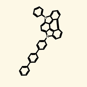 c1ccc(-c2ccc(-c3ccc(-n4c5cccc6c7cccc8c7c7c(c65)c4ccc7n8-c4ccccc4)cc3)cc2)cc1